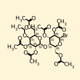 CC(=O)OC[C@H]1O[C@H](Br)[C@H](OC(C)=O)[C@@H](OC(C)=O)[C@H]1O[C@@H]1O[C@H](COC(C)=O)[C@H](OC(C)=O)[C@H](OC(C)=O)[C@H]1OC(C)=O